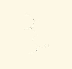 C[C@H](N)COC(=O)NC(C)(C)C